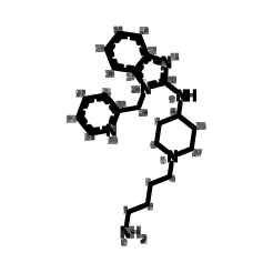 NCCCCN1CCC(Nc2nc3ccccc3n2Cc2ccccn2)CC1